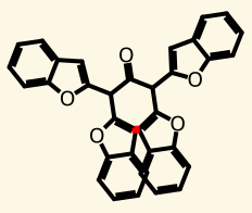 O=C(C(c1cc2ccccc2o1)c1cc2ccccc2o1)C(c1cc2ccccc2o1)c1cc2ccccc2o1